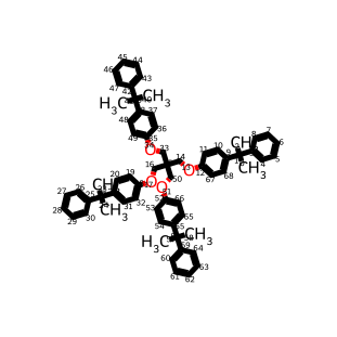 CC(C)(c1ccccc1)c1ccc(OCC(COc2ccc(C(C)(C)c3ccccc3)cc2)(COc2ccc(C(C)(C)c3ccccc3)cc2)COc2ccc(C(C)(C)c3ccccc3)cc2)cc1